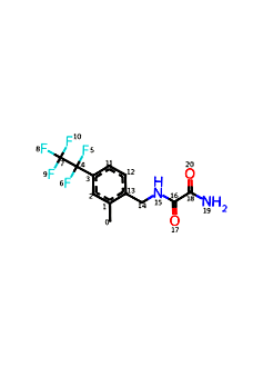 Cc1cc(C(F)(F)C(F)(F)F)ccc1CNC(=O)C(N)=O